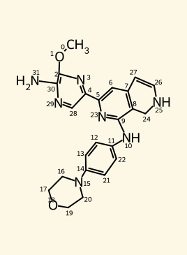 COc1nc(-c2cc3c(c(Nc4ccc(N5CCOCC5)cc4)n2)CNC=C3)cnc1N